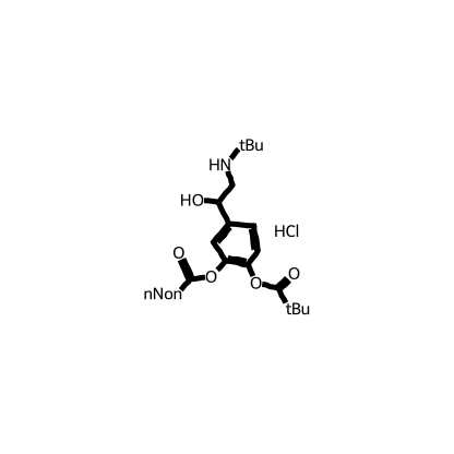 CCCCCCCCCC(=O)Oc1cc(C(O)CNC(C)(C)C)ccc1OC(=O)C(C)(C)C.Cl